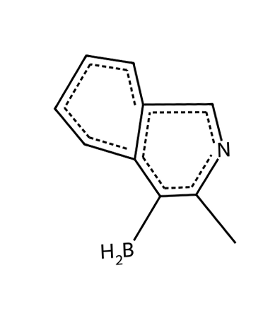 Bc1c(C)ncc2ccccc12